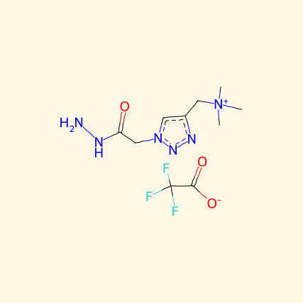 C[N+](C)(C)Cc1cn(CC(=O)NN)nn1.O=C([O-])C(F)(F)F